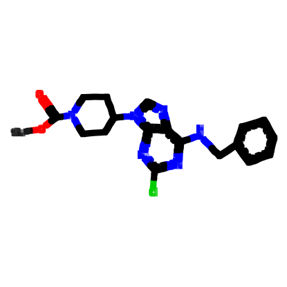 CC(C)(C)OC(=O)N1CCC(n2cnc3c(NCc4ccccc4)nc(Cl)nc32)CC1